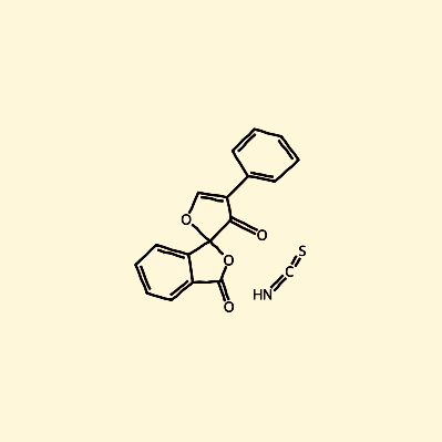 N=C=S.O=C1OC2(OC=C(c3ccccc3)C2=O)c2ccccc21